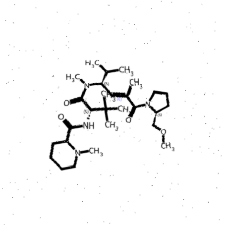 COC[C@@H]1CCCN1C(=O)/C(C)=C/[C@H](C(C)C)N(C)C(=O)[C@@H](NC(=O)C1CCCCN1C)C(C)(C)C